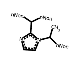 CCCCCCCCCC(CCCCCCCCC)c1nccn1C(C)CCCCCCCCC